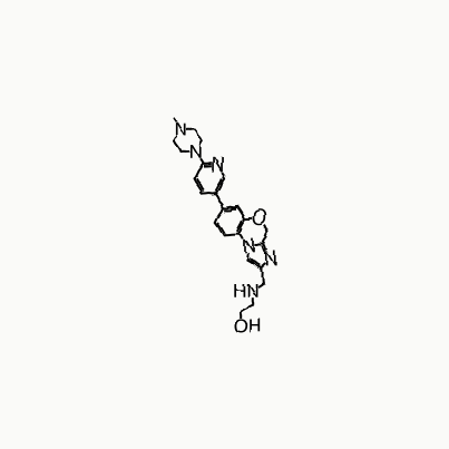 CN1CCN(c2ccc(-c3ccc4c(c3)OCc3nc(CNCCO)cn3-4)cn2)CC1